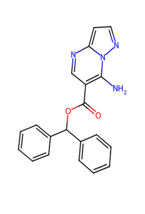 Nc1c(C(=O)OC(c2ccccc2)c2ccccc2)cnc2ccnn12